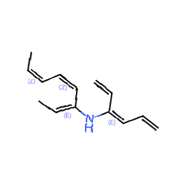 C=C/C=C(\C=C)NC(/C=C\C=C/C)=C/C